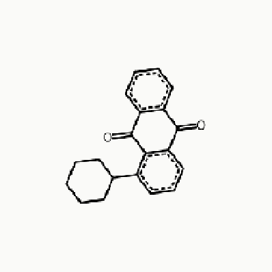 O=C1c2ccccc2C(=O)c2c1cccc2C1CCCCC1